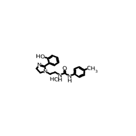 Cc1ccc(NC(=O)NCCN2CCN=C2c2ccccc2O)cc1.Cl